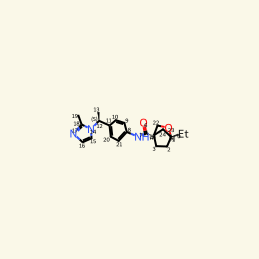 CC[C@]12CC[C@@](C(=O)Nc3ccc([C@H](C)n4ccnc4C)cc3)(CO1)C2